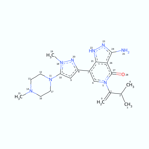 C=C(C(C)C)n1cc(-c2cc(N3CCN(C)CC3)n(C)n2)c2[nH]nc(N)c2c1=O